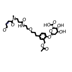 CC(=O)OCc1cc(CCCOCCNC(=O)CCN(C)C(=O)/C=C\C=O)ccc1O[C@H]1C[C@@H](O)[C@H](O)[C@@H](C(=O)O)O1